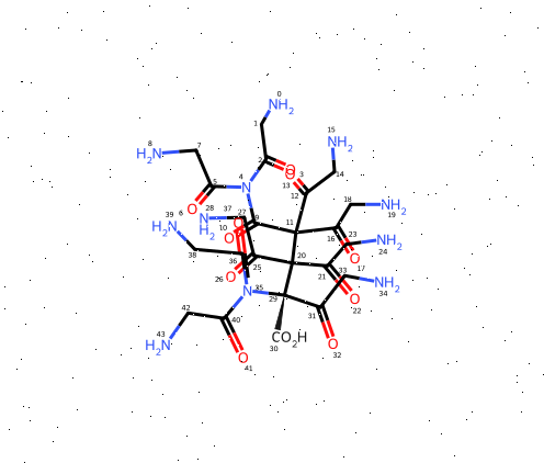 NCC(=O)N(C(=O)CN)C(=O)C(C(=O)CN)(C(=O)CN)C(C(=O)CN)(C(=O)CN)[C@](C(=O)O)(C(=O)CN)N(C(=O)CN)C(=O)CN